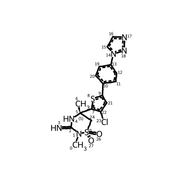 CN1C(=N)N[C@](C)(c2sc(-c3ccc(-n4ccnn4)cc3)cc2Cl)CS1(=O)=O